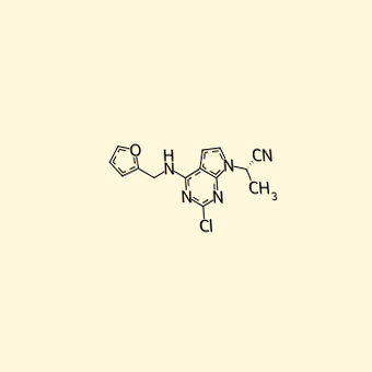 C[C@@H](C#N)n1ccc2c(NCc3ccco3)nc(Cl)nc21